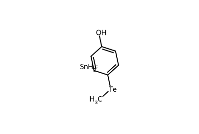 C[Te]c1ccc(O)cc1.[SnH2]